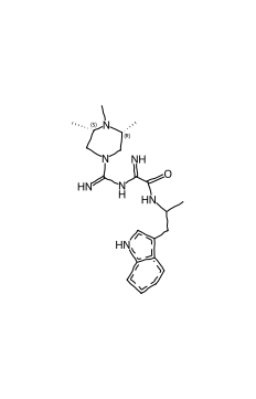 CC(Cc1c[nH]c2ccccc12)NC(=O)C(=N)NC(=N)N1C[C@@H](C)N(C)[C@@H](C)C1